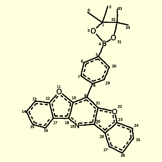 CC1(C)OB(c2ccc(-c3c4oc5ccccc5c4nc4c3oc3ccccc34)cc2)OC1(C)C